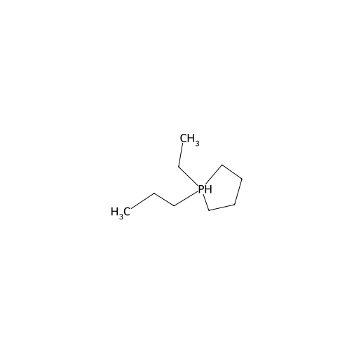 CCC[PH]1(CC)CCCC1